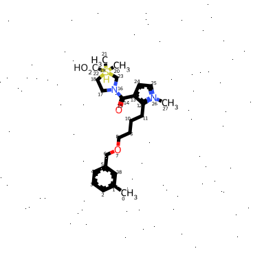 Cc1cccc(COCCCCc2c(C(=O)N3CC[SH](C)(C)(C(=O)O)C3)ccn2C)c1